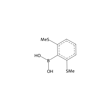 CSc1cccc(SC)c1B(O)O